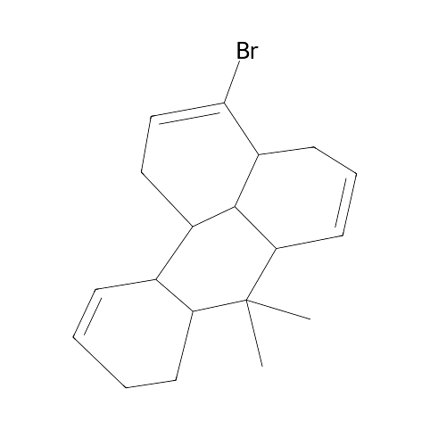 CC1(C)C2C=CCC3C(Br)=CCC(C4C=CCCC41)C32